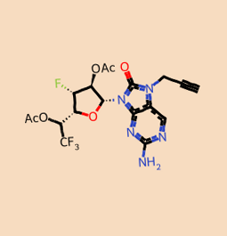 C#CCn1c(=O)n([C@@H]2O[C@H](C(OC(C)=O)C(F)(F)F)[C@H](F)[C@H]2OC(C)=O)c2nc(N)ncc21